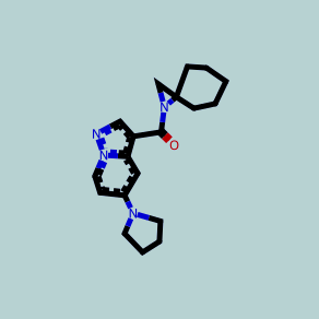 O=C(c1cnn2ccc(N3CCCC3)cc12)N1CC12CCCCC2